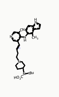 Cc1c(Nc2c(C#N)cncc2/C=C/CCN2CCC(N(C(=O)O)C(C)(C)C)CC2)ccc2[nH]ccc12